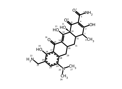 CC1C(O)=C(C(N)=O)C(=O)[C@@]2(O)C(O)=C3C(=O)c4c(O)c(CN)cc(N(C)C)c4CC3CC12